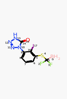 BC(F)(F)Sc1cccc(-n2nn[nH]c2=O)c1I